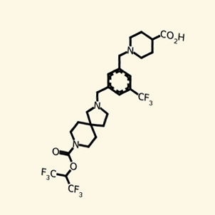 O=C(O)C1CCN(Cc2cc(CN3CCC4(CCN(C(=O)OC(C(F)(F)F)C(F)(F)F)CC4)C3)cc(C(F)(F)F)c2)CC1